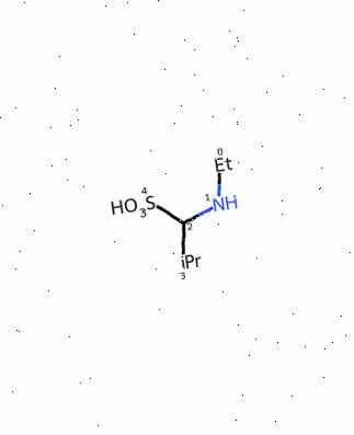 CCNC(C(C)C)S(=O)(=O)O